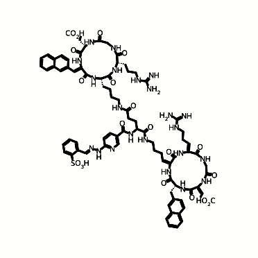 N=C(N)NCC/C=C1\NC(=O)/C(=C\CCCNC(=O)C(CCC(=O)NCCCC[C@@H]2NC(=O)/C(=C/c3ccc4ccccc4c3)NC(=O)[C@H](CC(=O)O)NC(=O)CNC(=O)[C@H](CCCNC(=N)N)NC2=O)NC(=O)c2ccc(NN=Cc3ccccc3S(=O)(=O)O)nc2)NC(=O)[C@@H](Cc2ccc3ccccc3c2)NC(=O)/C(=C\C(=O)O)NC(=O)CNC1=O